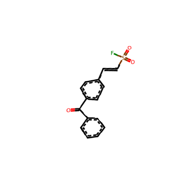 O=C(c1ccccc1)c1ccc(C=CS(=O)(=O)F)cc1